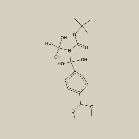 COC(OC)c1ccc(C(O)(O)N(C(=O)OC(C)(C)C)C(O)(O)O)cc1